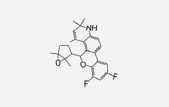 CC1=CC(C)(C)Nc2ccc3c(c21)C(C1CCC2(C)OC12C)Oc1c(F)cc(F)cc1-3